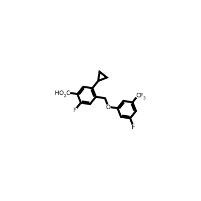 O=C(O)c1cc(C2CC2)c(COc2cc(F)cc(C(F)(F)F)c2)cc1F